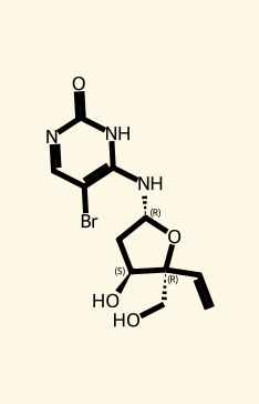 C=C[C@]1(CO)O[C@@H](Nc2[nH]c(=O)ncc2Br)C[C@@H]1O